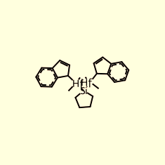 [CH3][Hf]([CH3])([CH]1C=Cc2ccccc21)[Si]1([Hf]([CH3])([CH3])[CH]2C=Cc3ccccc32)CCCC1